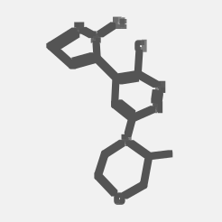 CCn1nccc1-c1cc(N2CCOCC2C)nnc1Cl